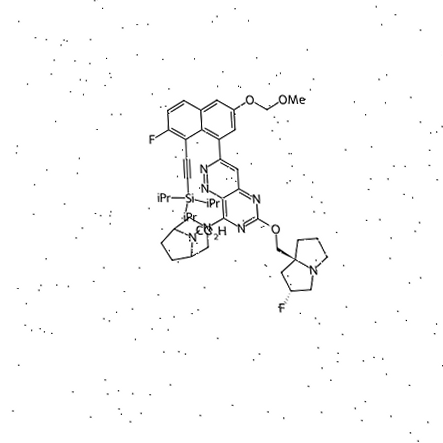 COCOc1cc(-c2cc3nc(OC[C@@]45CCCN4C[C@H](F)C5)nc(N4CC5CCC(C4)N5C(=O)O)c3nn2)c2c(C#C[Si](C(C)C)(C(C)C)C(C)C)c(F)ccc2c1